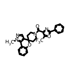 Cn1ncc2c1-c1ccccc1OC21CCN(C(=O)c2nc(-c3ccccc3)oc2C(F)(F)F)CC1